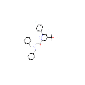 CC(C)(O)c1cc(C(=O)CN(Cc2ccccc2)Cc2ccccc2)nc(-c2ccc(F)cc2)c1F